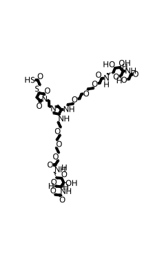 O=C(S)CSC1CC(=O)N(CCN2CC(NCCOCCOCCOCC(=O)NC[C@H]3O[C@@H]4OCC(=O)N[C@@H]4[C@@H](O)[C@H]3O)C(NCCOCCOCCOCC(=O)NC[C@H]3O[C@@H]4OCC(=O)N[C@@H]4[C@@H](O)[C@H]3O)C2)C1=O